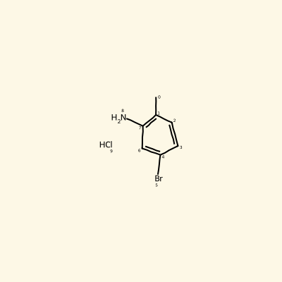 Cc1ccc(Br)cc1N.Cl